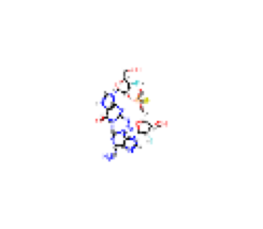 Nc1nc2c(ncn2[C@@H]2O[C@H](CO)[C@@H](F)[C@H]2OP(=O)(S)OC[C@H]2O[C@@H](n3cnc4c(N)ncnc43)[C@@H](F)[C@@H]2O)c(=O)[nH]1